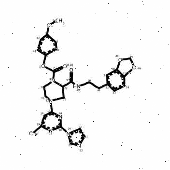 COc1ccc(OC(=O)N2CCN(c3cc(Cl)nc(-n4ccnc4)n3)CC2C(=O)NCCc2ccc3c(c2)OCO3)cc1